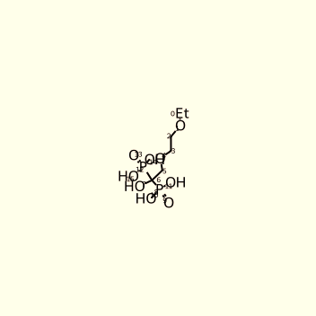 CCOCCOCC(O)(P(=O)(O)O)P(=O)(O)O